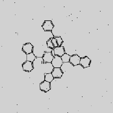 c1ccc(-c2cccc(C3=NC(c4c(-n5c6cc7ccccc7cc6c6cc7ccccc7cc65)ccc5c4oc4ccccc45)NC(n4c5ccccc5c5ccccc54)=N3)c2)cc1